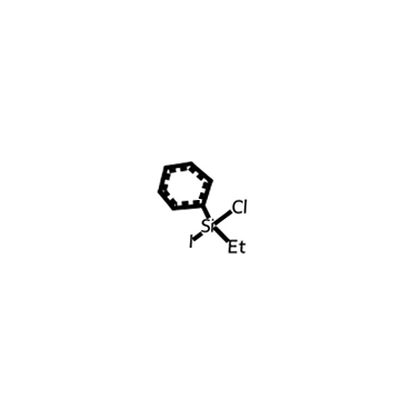 CC[Si](Cl)(I)c1ccccc1